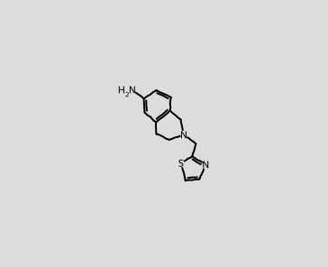 Nc1ccc2c(c1)CCN(Cc1nccs1)C2